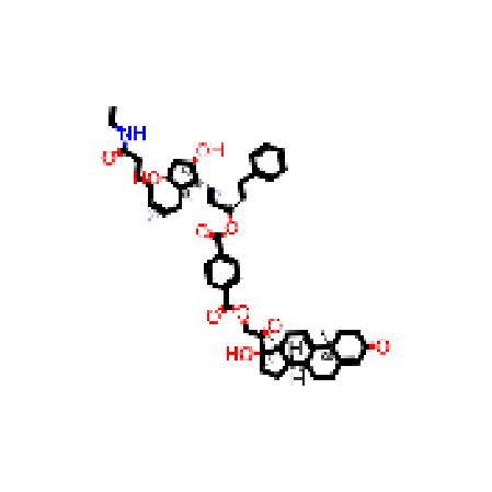 CCNC(=O)CCC/C=C\C[C@@H]1[C@@H](/C=C/[C@H](CCc2ccccc2)OC(=O)c2ccc(C(=O)OCC(=O)[C@@]3(O)CC[C@H]4[C@@H]5CCC6=CC(=O)CC[C@]6(C)C5=CC[C@@]43C)cc2)[C@H](O)C[C@@H]1O